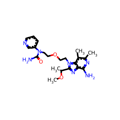 COC(C)c1nc2c(N)nc(C)c(C)c2n1CCOCCN(C(N)=O)c1cccnc1